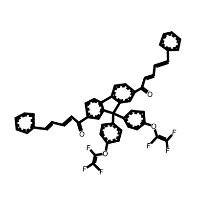 O=C(C=CC=Cc1ccccc1)c1ccc2c(c1)C(c1ccc(OC(F)=C(F)F)cc1)(c1ccc(OC(F)=C(F)F)cc1)c1cc(C(=O)C=CC=Cc3ccccc3)ccc1-2